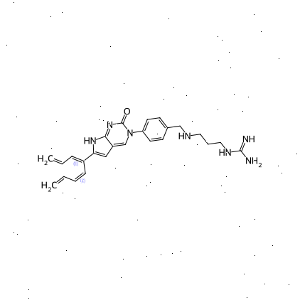 C=C/C=C\C(=C/C=C)c1cc2cn(-c3ccc(CNCCCNC(=N)N)cc3)c(=O)nc2[nH]1